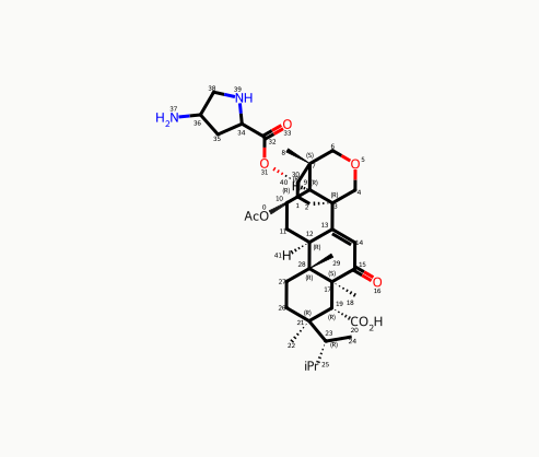 CC(=O)O[C@@H]1C[C@@]23COC[C@](C)([C@@H]2CC[C@H]2C3=CC(=O)[C@@]3(C)[C@H](C(=O)O)[C@@](C)([C@H](C)C(C)C)CC[C@]23C)[C@H]1OC(=O)C1CC(N)CN1